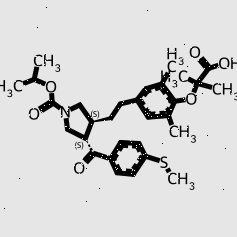 CSc1ccc(C(=O)[C@@H]2CN(C(=O)OC(C)C)C[C@H]2CCc2cc(C)c(OC(C)(C)C(=O)O)c(C)c2)cc1